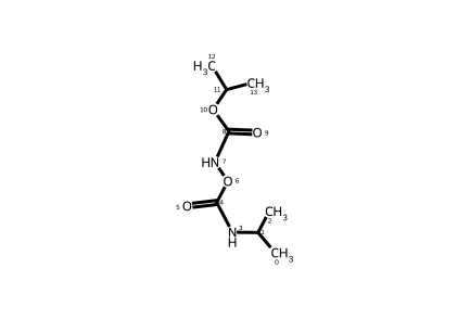 CC(C)NC(=O)ONC(=O)OC(C)C